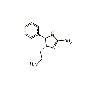 NCC[C@H]1N=C(N)N[C@@H]1c1ccccc1